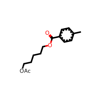 CC(=O)OCCCCCOC(=O)c1ccc(C)cc1